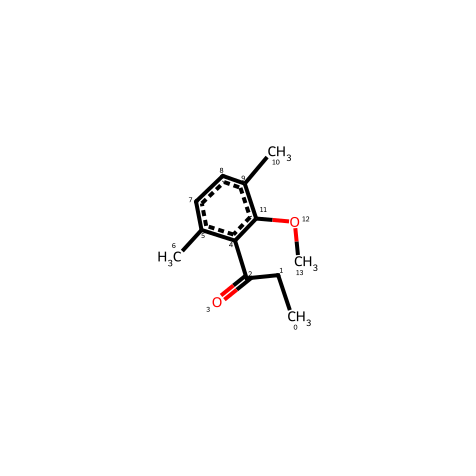 CCC(=O)c1c(C)ccc(C)c1OC